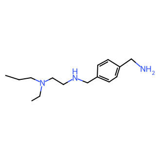 CCCN(CC)CCNCc1ccc(CN)cc1